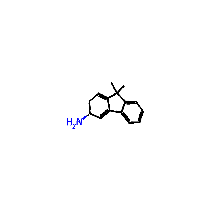 CC1(C)C2=CC[C@H](N)C=C2c2ccccc21